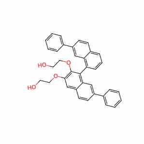 OCCOc1cc2ccc(-c3ccccc3)cc2c(-c2cccc3ccc(-c4ccccc4)cc23)c1OCCO